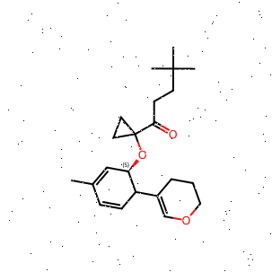 CC1=C[C@@H](OC2(C(=O)CCC(C)(C)C)CC2)C(C2=COCCC2)C=C1